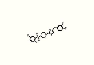 Cc1ccc(F)cc1S(=O)(=O)C1CCN(c2nc(Cc3ccc(F)c(F)c3)cs2)CC1